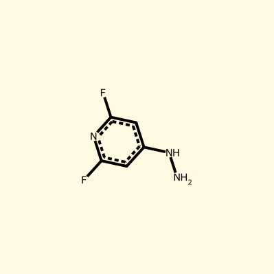 NNc1cc(F)nc(F)c1